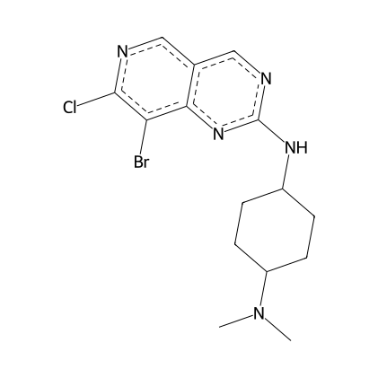 CN(C)C1CCC(Nc2ncc3cnc(Cl)c(Br)c3n2)CC1